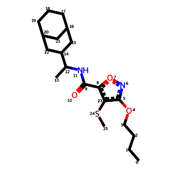 CCCCOc1noc(C(=O)NC(C)C2CC3CCCC(C3)C2)c1SC